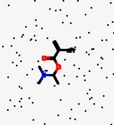 C=C(CCC)C(=O)OC(C)N(C)C